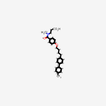 CN(CCC(=O)O)C(=O)c1ccc(OCCCCc2ccc(-c3ccc(C(F)(F)F)cc3)cc2)cc1